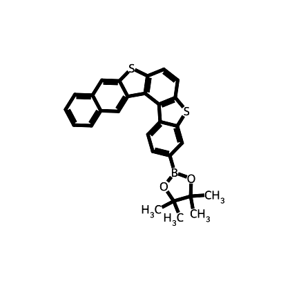 CC1(C)OB(c2ccc3c(c2)sc2ccc4sc5cc6ccccc6cc5c4c23)OC1(C)C